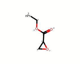 CCCCOC(=O)C1CO1